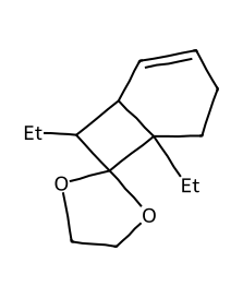 CCC1C2C=CCCC2(CC)C12OCCO2